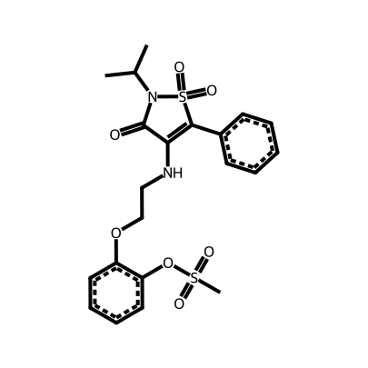 CC(C)N1C(=O)C(NCCOc2ccccc2OS(C)(=O)=O)=C(c2ccccc2)S1(=O)=O